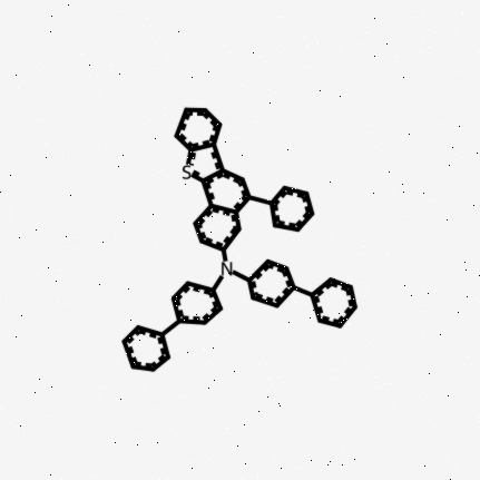 c1ccc(-c2ccc(N(c3ccc(-c4ccccc4)cc3)c3ccc4c(c3)c(-c3ccccc3)cc3c5ccccc5sc43)cc2)cc1